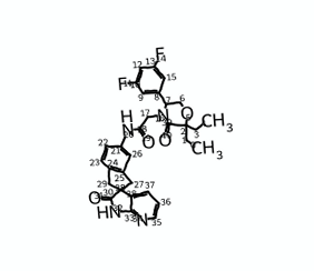 CCC1(CC)OCC(c2cc(F)cc(F)c2)N(CC(=O)Nc2ccc3c(c2)CC2(C3)C(=O)Nc3ncccc32)C1=O